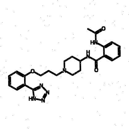 CC(=O)Nc1ccccc1C(=O)NC1CCN(CCCOc2ccccc2-c2nnn[nH]2)CC1